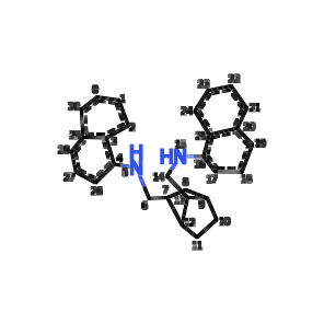 c1ccc2c(NCC3CC4CCC3C4CNc3cccc4ccccc34)cccc2c1